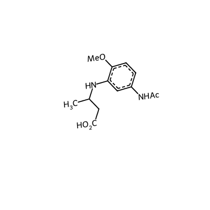 COc1ccc(NC(C)=O)cc1NC(C)CC(=O)O